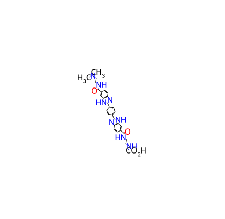 CN(C)CCNC(=O)c1ccc2nc(-c3ccc(-c4nc5ccc(C(=O)NCCNC(=O)O)cc5[nH]4)cc3)[nH]c2c1